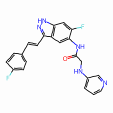 O=C(CNc1cccnc1)Nc1cc2c(C=Cc3ccc(F)cc3)n[nH]c2cc1F